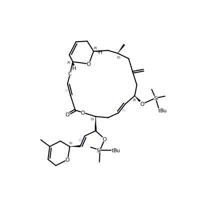 C=C1C[C@H](C)C[C@@H]2CC=C[C@@H](C/C=C\C(=O)O[C@H](C(/C=C/[C@@H]3CC(C)=CCO3)O[Si](C)(C)C(C)(C)C)C/C=C/[C@H](O[Si](C)(C)C(C)(C)C)C1)O2